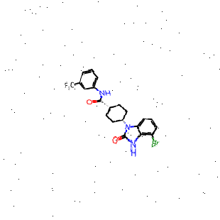 O=c1[nH]c2c(Br)cccc2n1[C@H]1CC[C@@H](C(=O)Nc2cccc(C(F)(F)F)c2)CC1